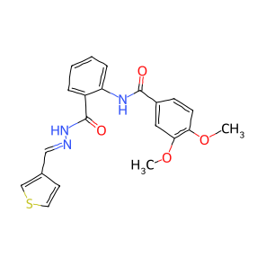 COc1ccc(C(=O)Nc2ccccc2C(=O)N/N=C/c2ccsc2)cc1OC